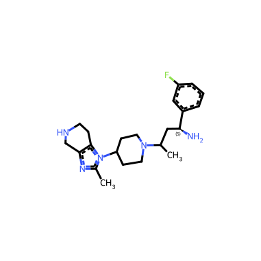 Cc1nc2c(n1C1CCN(C(C)C[C@H](N)c3cccc(F)c3)CC1)CCNC2